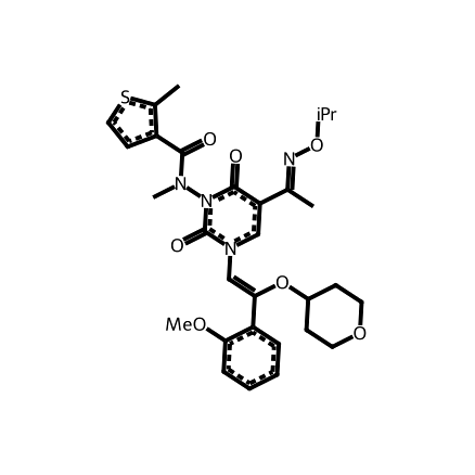 COc1ccccc1/C(=C/n1cc(/C(C)=N/OC(C)C)c(=O)n(N(C)C(=O)c2ccsc2C)c1=O)OC1CCOCC1